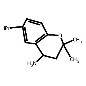 CC(C)c1ccc2c(c1)C(N)CC(C)(C)O2